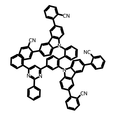 N#Cc1ccccc1-c1ccc2c(c1)c1cc(-c3ccccc3C#N)ccc1n2-c1ccccc1-c1ccc(-c2cc(-c3ccccc3)nc(-c3ccccc3)n2)cc1-n1c2ccc(-c3ccccc3C#N)cc2c2cc(-c3ccccc3C#N)ccc21